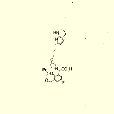 CC(C)[C@@H]1COCc2cc(F)cc([C@H](C(=O)O)N3CC[C@@H](OCCCCc4ccc5c(n4)NCCC5)C3)c2O1